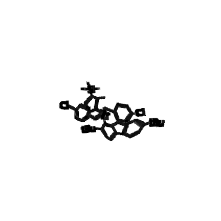 CC1=[C]([Zr](=[CH]c2ccc(Cl)cc2)(=[CH]c2ccc(Cl)cc2)[c]2c(C(C)(C)C)ccc3c2Cc2cc(C(C)(C)C)ccc2-3)C(C)C=C1[Si](C)(C)C